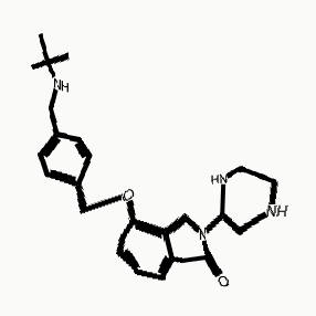 CC(C)(C)NCc1ccc(COc2cccc3c2CN(C2CNCCN2)C3=O)cc1